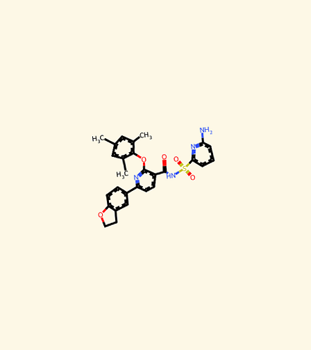 Cc1cc(C)c(Oc2nc(-c3ccc4c(c3)CCO4)ccc2C(=O)NS(=O)(=O)c2cccc(N)n2)c(C)c1